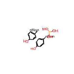 CCCCCCCCCc1ccc(O)cc1.CCCCCCCCCc1ccc(O)cc1.OP(O)O